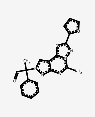 CC(C=O)(c1ccccc1)n1cc2c(nc(N)n3nc(-c4ccco4)nc23)n1